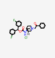 O=C(N[C@H]1C[N+]2(CC(=O)c3ccccc3)CCC1CC2)OC(c1cccc(F)c1)c1cccc(F)c1.[Cl-]